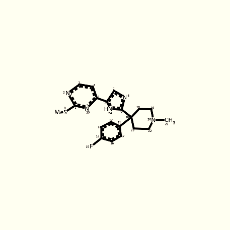 CSc1nccc(-c2cnc(C3(c4ccc(F)cc4)CCN(C)CC3)[nH]2)n1